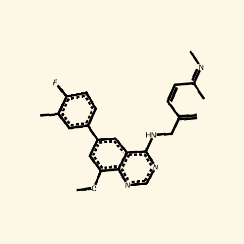 C=C(/C=C\C(C)=N/C)CNc1ncnc2c(OC)cc(-c3ccc(F)c(C)c3)cc12